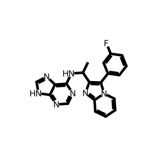 CC(Nc1ncnc2[nH]cnc12)c1nc2ccccn2c1-c1cccc(F)c1